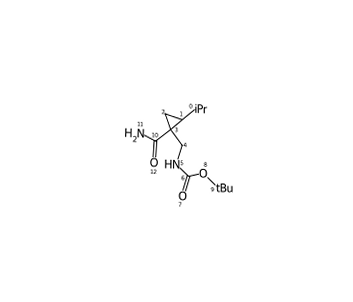 CC(C)C1CC1(CNC(=O)OC(C)(C)C)C(N)=O